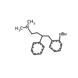 CCCCc1ccccc1CC(CCN(C)C)c1ccccc1